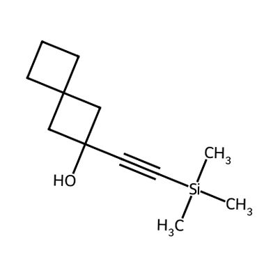 C[Si](C)(C)C#CC1(O)CC2(CCC2)C1